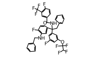 O=C(NC(Cc1ccccc1)(c1cc(F)cc(OC(F)(F)C(F)F)c1)c1ccc(F)c(NCc2ccccc2)c1)c1ccc(F)c(C(F)(F)F)c1